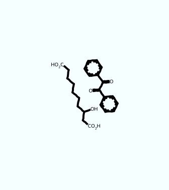 O=C(C(=O)c1ccccc1)c1ccccc1.O=C(O)CCCCCCC(O)CC(=O)O